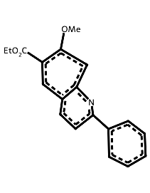 CCOC(=O)c1cc2ccc(-c3ccccc3)nc2cc1OC